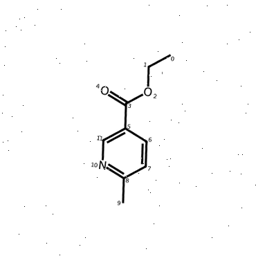 CCOC(=O)c1ccc(C)nc1